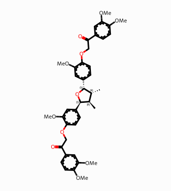 COc1ccc(C(=O)COc2ccc([C@H]3O[C@H](c4ccc(OCC(=O)c5ccc(OC)c(OC)c5)c(OC)c4)[C@H](C)[C@H]3C)cc2OC)cc1OC